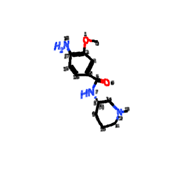 COc1cc(C(=O)N[C@H]2CCCN(C)C2)ccc1N